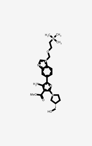 COC(=O)c1c(N2CC[C@H](CO)C2)sc(-c2ccc3c(c2)ncn3COCC[Si](C)(C)C)c1N